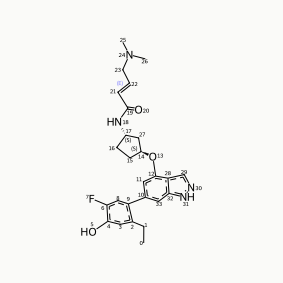 CCc1cc(O)c(F)cc1-c1cc(O[C@H]2CC[C@H](NC(=O)/C=C/CN(C)C)C2)c2cn[nH]c2c1